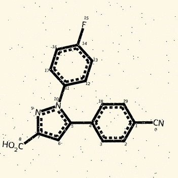 N#Cc1ccc(-c2cc(C(=O)O)nn2-c2ccc(F)cc2)cc1